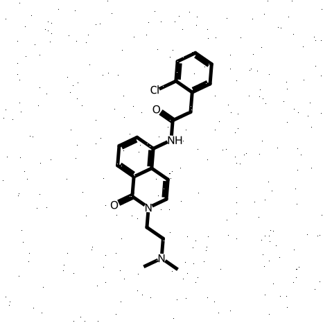 CN(C)CCn1ccc2c(NC(=O)Cc3ccccc3Cl)cccc2c1=O